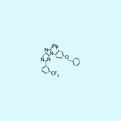 CC(C)c1nc2cnc(-c3cccc(C(F)(F)F)c3)nc2n1-c1ccc(OCc2ccccc2)cc1F